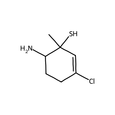 CC1(S)C=C(Cl)CCC1N